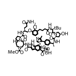 COC(=O)N1CC[C@H]2CC[C@@H](C(=O)N[C@@H](CCC(N)=O)COc3cccc(CCCC(=O)N[C@H](C(=O)N4C[C@H](O)C[C@H]4C(=O)N[C@@H](C)c4ccc(-c5scnc5C)cc4)C(C)(C)C)c3Cl)N2C(=O)[C@@H](NC(=O)c2cc3cc(C(=O)P(=O)(O)O)ccc3[nH]2)C1